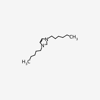 CCCCCCn1cc[n+](CCCCC)c1